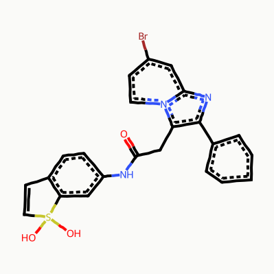 O=C(Cc1c(-c2ccccc2)nc2cc(Br)ccn12)Nc1ccc2c(c1)S(O)(O)C=C2